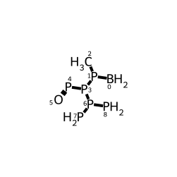 BP(C)P(P=O)P(P)P